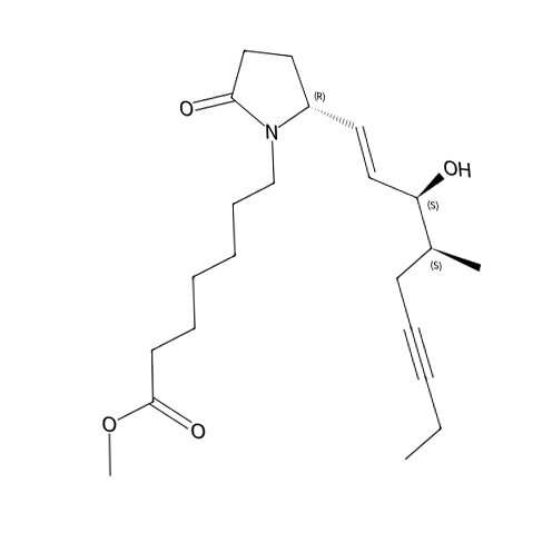 CCC#CC[C@H](C)[C@H](O)C=C[C@H]1CCC(=O)N1CCCCCCC(=O)OC